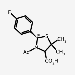 CC(=O)N1C(C(=O)O)C(C)(C)S[C@@H]1c1ccc(F)cc1